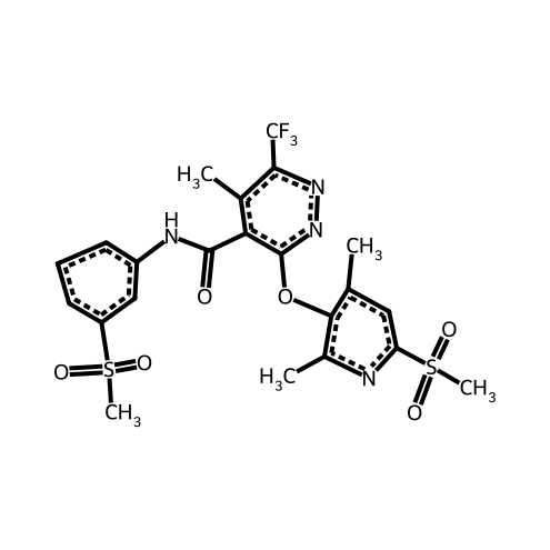 Cc1cc(S(C)(=O)=O)nc(C)c1Oc1nnc(C(F)(F)F)c(C)c1C(=O)Nc1cccc(S(C)(=O)=O)c1